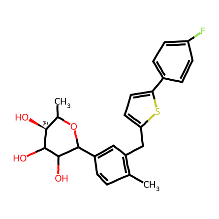 Cc1ccc(C2OC(C)[C@H](O)C(O)C2O)cc1Cc1ccc(-c2ccc(F)cc2)s1